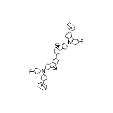 C[Si]1(C)c2ccc(-c3ccc4c(c3)-c3ccc(-n5c6ccc(F)cc6c6cc(C78CC9CC(CC(C9)C7)C8)ccc65)cc3[Si]4(C)C)cc2-c2ccc(-n3c4ccc(F)cc4c4cc(C56CC7CC(CC(C7)C5)C6)ccc43)cc21